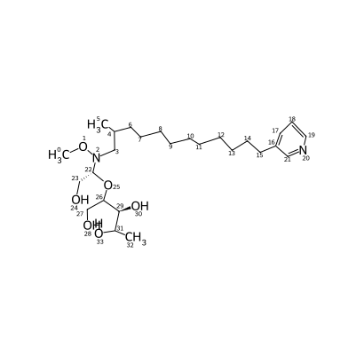 CON(CC(C)CCCCCCCCCCc1cccnc1)[C@@H](CO)OC(CO)[C@@H](O)C(C)O